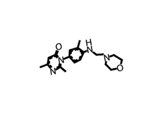 Cc1cc(=O)n(-c2ccc(NCCN3CCOCC3)c(C)c2)c(C)n1